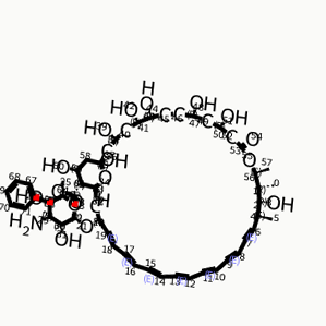 C[C@@H]1[C@H](O)[C@@H](C)/C=C/C=C/C=C/C=C/C=C/C=C/C=C/[C@H](O[C@@H]2O[C@H](C)[C@@H](O)[C@H](N)[C@H]2O)C[C@@H]2O[C@](O)(C[C@@H](O)C[C@@H](O)[C@H](O)CC[C@@H](O)C[C@@H](O)CC(=O)O[C@H]1C)C[C@H](O)[C@H]2C(=O)OCc1ccccc1